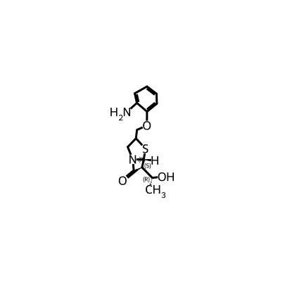 C[C@@H](O)[C@H]1C(=O)N2CC(COc3ccccc3N)S[C@H]12